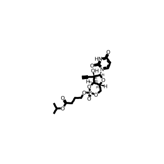 C#C[C@@]1(O)[C@@H]2OP(=O)(OCCCC(=O)OC(C)C)OC[C@H]2O[C@H]1n1ccc(=O)[nH]c1=O